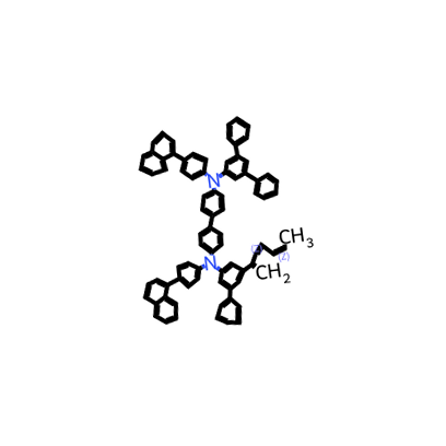 C=C(/C=C\C=C/C)c1cc(-c2ccccc2)cc(N(c2ccc(-c3ccc(N(c4ccc(-c5cccc6ccccc56)cc4)c4cc(-c5ccccc5)cc(-c5ccccc5)c4)cc3)cc2)c2ccc(-c3cccc4ccccc34)cc2)c1